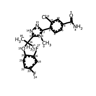 Cn1c(-c2ccc(C(N)=O)cc2Cl)nnc1C(C)(C)Oc1ccc(F)cc1F